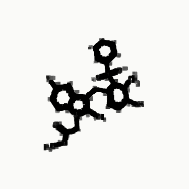 COC(=O)Cn1c(C)c(Cc2ccc(S)c(C)c2S(=O)(=O)c2ccccc2)c2cc(F)ccc21